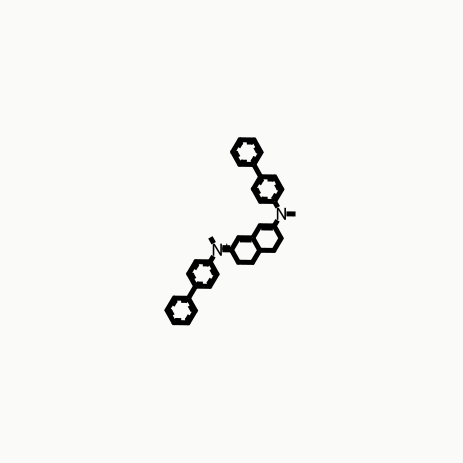 CN(C1=CC2=C/C(=[N+](\C)c3ccc(-c4ccccc4)cc3)CCC2CC1)c1ccc(-c2ccccc2)cc1